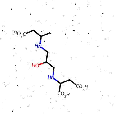 CC(CC(=O)O)NCC(O)CNC(CC(=O)O)C(=O)O